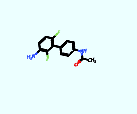 CC(=O)Nc1ccc(-c2c(F)ccc(N)c2F)cc1